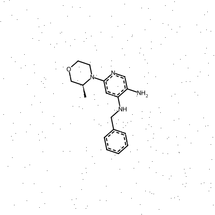 C[C@H]1COCCN1c1cc(NCc2ccccc2)c(N)cn1